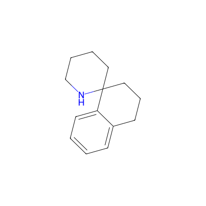 c1ccc2c(c1)CCCC21CCCCN1